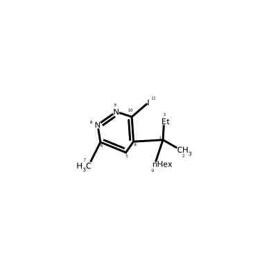 CCCCCCC(C)(CC)c1cc(C)nnc1I